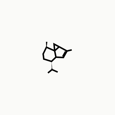 CC1=CC2[C@H](C(C)C)CC[C@@H](C)C23CC13